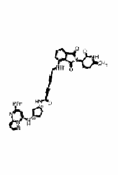 C=C1CCC(N2C(=O)c3cccc(NCC#CC#CC(=O)N[C@@H]4CC[C@@H](Nc5cc(CCC)nc6ccnn56)C4)c3C2=O)C(=O)N1